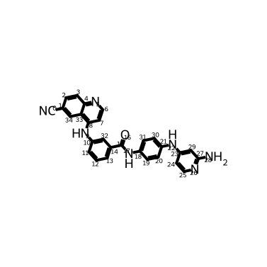 N#Cc1ccc2nccc(Nc3cccc(C(=O)Nc4ccc(Nc5ccnc(N)c5)cc4)c3)c2c1